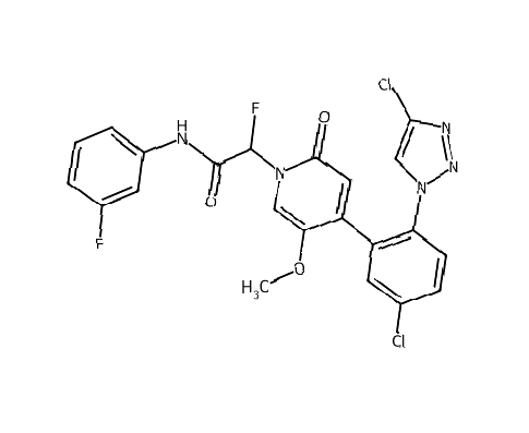 COc1cn(C(F)C(=O)Nc2cccc(F)c2)c(=O)cc1-c1cc(Cl)ccc1-n1cc(Cl)nn1